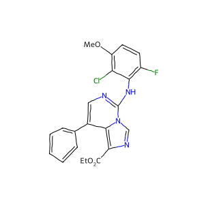 CCOC(=O)c1ncn2c(Nc3c(F)ccc(OC)c3Cl)ncc(-c3ccccc3)c12